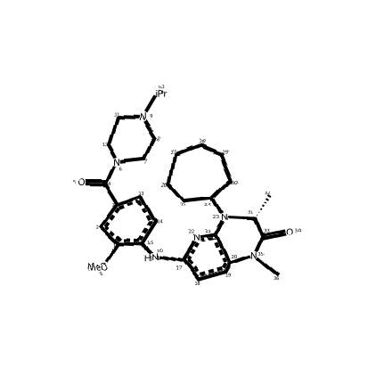 COc1cc(C(=O)N2CCN(C(C)C)CC2)ccc1Nc1ccc2c(n1)N(C1CCCCCC1)[C@H](C)C(=O)N2C